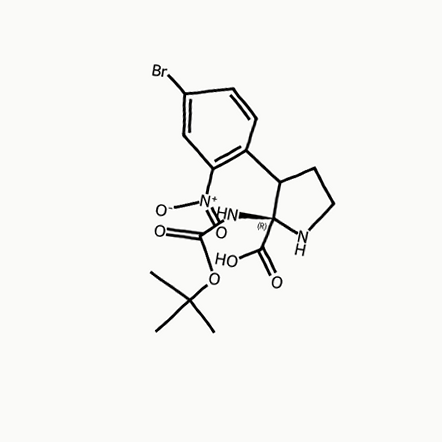 CC(C)(C)OC(=O)N[C@]1(C(=O)O)NCCC1c1ccc(Br)cc1[N+](=O)[O-]